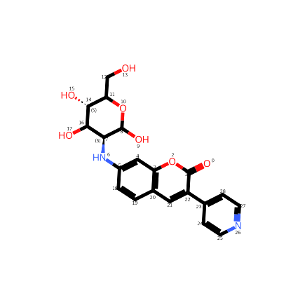 O=c1oc2cc(N[C@@H]3C(O)OC(CO)[C@@H](O)C3O)ccc2cc1-c1ccncc1